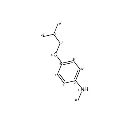 CNc1ccc(OCC(C)C)cc1